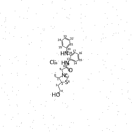 CC1C(CCO)SC=[N+]1CC(=O)Nc1ccccc1Nc1ccccc1.[Cl-]